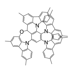 Cc1ccc2c(c1)c1cc(C)ccc1n2-c1cc2c3c(c1-n1c4ccc(C)cc4c4cc(C)ccc41)-n1c4ccc(C)cc4c4cc(C)cc(c41)C3Oc1cc(C)cc3c4cc(C)ccc4n-2c13